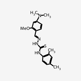 COc1cc(N(C)C)ccc1C=NNC(=S)Nc1ccc(C)cc1C